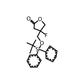 CC(C)(C)[Si](OCC1(F)COC(=O)C1)(c1ccccc1)c1ccccc1